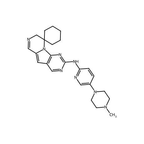 CN1CCN(c2ccc(Nc3ncc4cc5n(c4n3)C3(CCCCC3)CN=C5)nc2)CC1